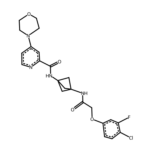 O=C(COc1ccc(Cl)c(F)c1)NC12CC(NC(=O)c3cc(N4CCOCC4)ccn3)(C1)C2